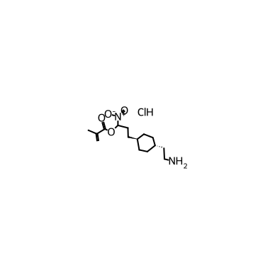 C=C(C)C(=O)OC(CC[C@H]1CC[C@H](CCN)CC1)[N+](=O)[O-].Cl